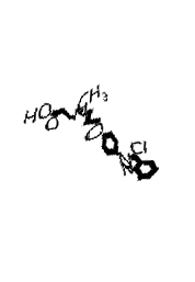 CN(CCCOc1ccc(-n2nc3ccccc3c2Cl)cc1)CCC(=O)O